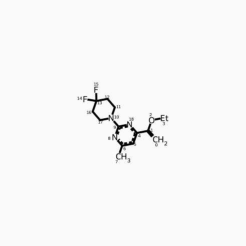 C=C(OCC)c1cc(C)nc(N2CCC(F)(F)CC2)n1